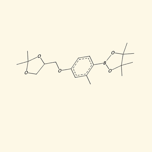 Cc1cc(OCC2COC(C)(C)O2)ccc1B1OC(C)(C)C(C)(C)O1